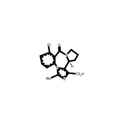 CCc1cccc2c1C(=O)N1CCC[C@H]1c1c(C(=O)O)nc(C(C)(C)C)n1-2